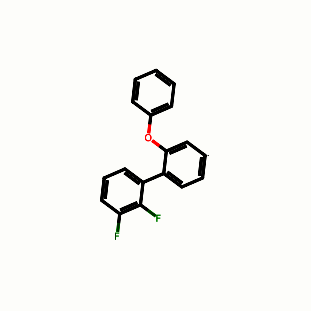 Fc1cccc(-c2cc[c]cc2Oc2ccccc2)c1F